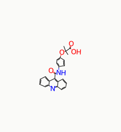 CC(C)(Oc1ccc(NC(=O)c2c3ccccc3nc3ccccc23)cc1)C(=O)O